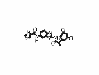 CC(C(=O)Nc1nc2ccc(NC(=O)c3cscn3)cc2s1)c1cc(Cl)cc(Cl)c1